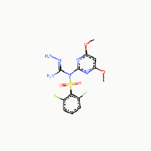 COc1cc(OC)nc(N(C(N)=NN)S(=O)(=O)c2c(F)cccc2F)n1